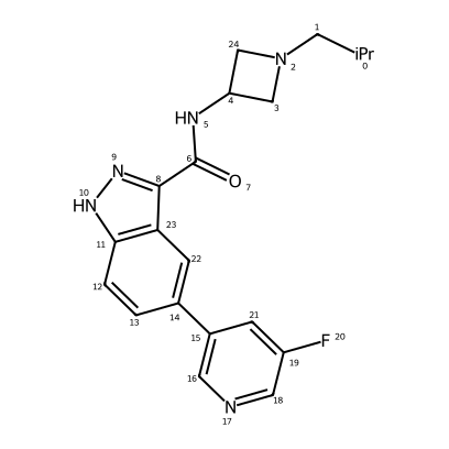 CC(C)CN1CC(NC(=O)c2n[nH]c3ccc(-c4cncc(F)c4)cc23)C1